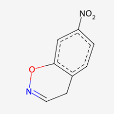 O=[N+]([O-])c1ccc2c(c1)ON=CC2